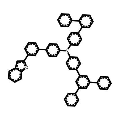 c1ccc(-c2cc(-c3ccccc3)cc(-c3ccc(N(c4ccc(-c5cccc(-c6cc7ccccc7o6)c5)cc4)c4ccc(-c5ccccc5-c5ccccc5)cc4)cc3)c2)cc1